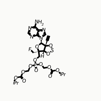 C#C[C@@]12OSO[C@@H]1[C@@](CF)(COP(=O)(OCOC(=O)OC(C)C)OCOC(=O)OC(C)C)O[C@H]2n1cnc2c(N)ncnc21